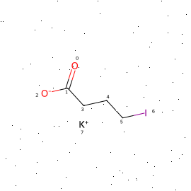 O=C([O-])CCCI.[K+]